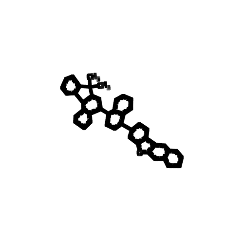 CC1(C)c2ccccc2-c2c1cc(-c1ccc(-c3ccc4c(c3)oc3cc5ccccc5cc34)c3ccccc13)c1ccccc21